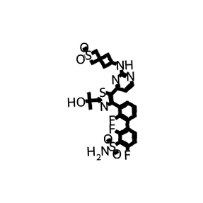 CC(C)(O)c1nc(-c2cccc(-c3ccc(F)c(S(N)(=O)=O)c3F)c2F)c(-c2ccnc(NC3CC4(C3)CS(=O)(=O)C4)n2)s1